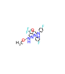 COCCNc1cc(C(F)(F)F)c2c(=O)cc(Nc3ccc(F)cc3)n(-c3ccc(F)cc3)c2n1